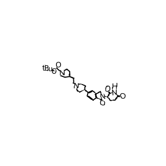 CC(C)(C)OC(=O)N1CCC(CCN2CCC(c3ccc4c(c3)CN(C3CCC(=O)NC3=O)C4=O)CC2)CC1